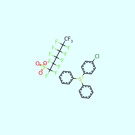 Clc1ccc([S+](c2ccccc2)c2ccccc2)cc1.O=S(=O)([O-])C(F)(F)C(F)(F)C(F)(F)C(F)(F)C(F)(F)C(F)(F)F